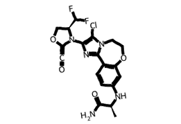 C[C@H](Nc1ccc2c(c1)OCCn1c-2nc(N2C(=C=O)OC[C@H]2C(F)F)c1Cl)C(N)=O